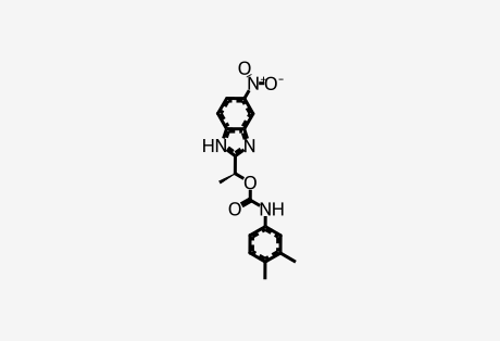 Cc1ccc(NC(=O)O[C@@H](C)c2nc3cc([N+](=O)[O-])ccc3[nH]2)cc1C